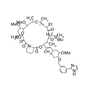 CCC1/C=C(\C)CC(C)CC(OC)C2OC(O)(C(=O)C(=O)N3CCCCC3C(=O)OC(C(C)=CC3CCC(OCc4cccc(-c5ncc[nH]5)c4)C(OC)C3)C(C)C(O[Si](C)(C)C(C)(C)C)CC1=O)C(C)CC2OC